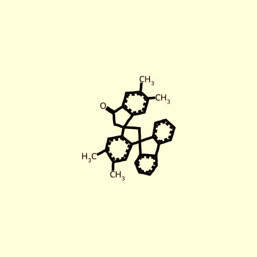 Cc1cc2c(cc1C)C1(CC2=O)CC2(c3ccccc3-c3ccccc32)c2cc(C)c(C)cc21